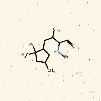 C=CC(NC(C)C)C(C)CC1CC(C)CC1(C)C(C)C